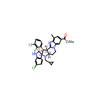 COC(=O)c1cc(C)c2nc3n(c2c1)CC[C@H]1[C@@H]3[C@H](c2cccc(Cl)c2F)[C@]2(C(=O)Nc3cc(Cl)ccc32)N1CC1CC1